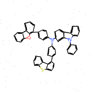 c1ccc(-n2c3ccccc3c3ccc(N(c4ccc(-c5cccc6c5oc5ccccc56)cc4)c4ccc(-c5cccc6sc7ccccc7c56)cc4)cc32)cc1